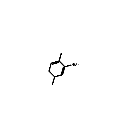 CNC1=C[C](C)CC=C1C